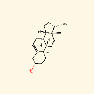 [CH2][C@@H](C)[C@H]1CC[C@H]2[C@@H]3CC=C4C[C@@H](O)CC[C@]4(C)[C@H]3CC[C@@]12C